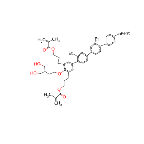 C=C(C)C(=O)OCCCc1cc(-c2ccc(-c3ccc(-c4ccc(CCCCC)cc4)c(CC)c3)cc2CC)cc(CCCOC(=O)C(=C)C)c1OCCC(CO)CO